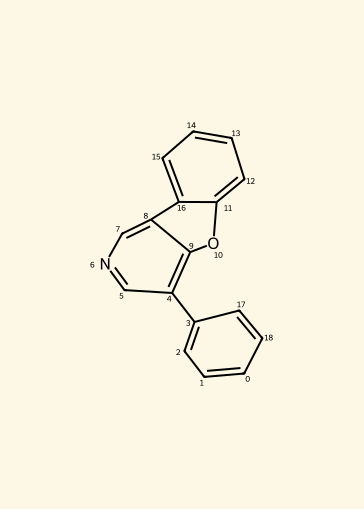 c1ccc(-c2cncc3c2oc2ccccc23)cc1